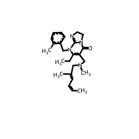 C/C=C\C=C(/C)CN(C)CC1=C(CC)N(Cc2ccccc2C)C2=NCCN2C1=O